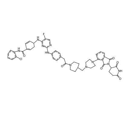 O=C1CCC(N2C(=O)c3cccc(N4CCN(CC5CCN(C(=O)Cc6ccc(Nc7ncc(F)c(NC8C=CC(C(=O)Nc9ccccc9Cl)=CC8)n7)cc6)CC5)CC4)c3C2=O)C(=O)N1